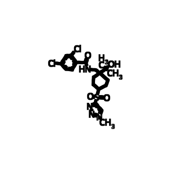 Cn1cc(S(=O)(=O)C2CCC(CNC(=O)c3ccc(Cl)cc3Cl)(C(C)(C)O)CC2)nn1